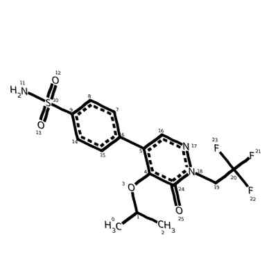 CC(C)Oc1c(-c2ccc(S(N)(=O)=O)cc2)cnn(CC(F)(F)F)c1=O